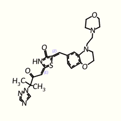 CC(C)(C(=O)/C=c1\[nH]c(=O)/c(=C/c2ccc3c(c2)N(CCN2CCOCC2)CCO3)s1)n1cncn1